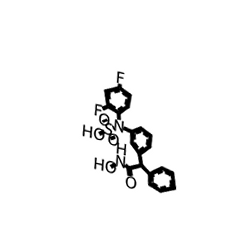 O=C(NO)C(c1ccccc1)c1cccc(N(c2ccc(F)cc2F)S(=O)(=O)O)c1